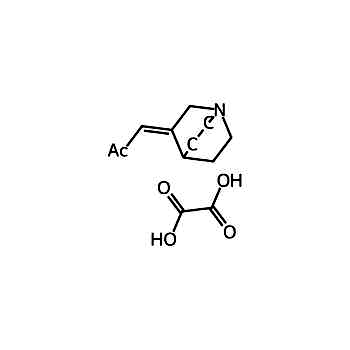 CC(=O)C=C1CN2CCC1CC2.O=C(O)C(=O)O